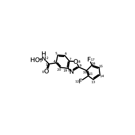 O=C(NO)c1ccc2oc(-c3c(F)cccc3F)nc2c1